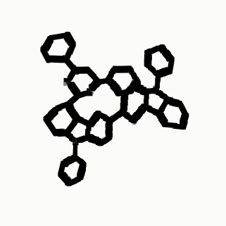 c1ccc(-c2cc(-c3ccccc3)nc(-c3cccc4c3c3cc(-c5ccc6c(c5)c5ccccc5n6-c5ccccc5)ccc3n4-c3ccccc3)n2)cc1